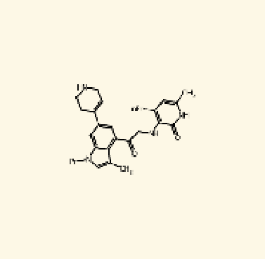 CCCc1cc(C)[nH]c(=O)c1NCC(=O)c1cc(C2=CCNCC2)cc2c1c(C)cn2C(C)C